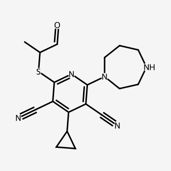 CC(C=O)Sc1nc(N2CCCNCC2)c(C#N)c(C2CC2)c1C#N